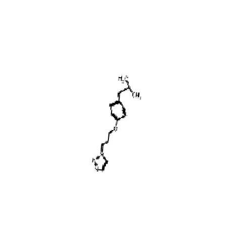 CC(C)Cc1ccc(OCCCn2ccnn2)cc1